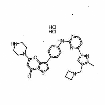 Cc1nn(-c2ccnc(Nc3ccc(-c4csc5c(=O)cc(N6CCNCC6)oc45)cc3)n2)cc1CN1CCC1.Cl.Cl